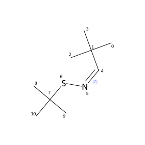 CC(C)(C)/C=N\SC(C)(C)C